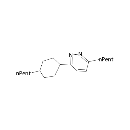 CCCCCc1ccc(C2CCC(CCCCC)CC2)nn1